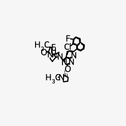 C=C(F)C(=O)N1CCC2[C@H]1CN2c1nc(OC[C@@H]2CCCN2C)nc2nc(-c3cccc4ccc(F)c(Cl)c34)ccc12